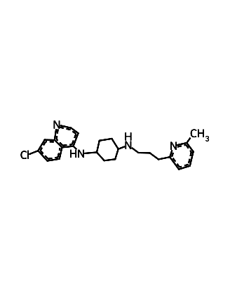 Cc1cccc(CCCNC2CCC(Nc3ccnc4cc(Cl)ccc34)CC2)n1